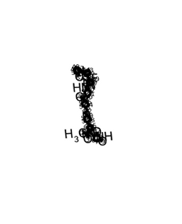 Cn1c(=O)n(C2CCC(=O)NC2=O)c2ccc(C3CCN(CCC4CCN(C(=O)C5CCCC(Nc6ncc(F)c(-c7cccc(-n8ccccc8=O)c7)n6)C5)CC4)CC3)cc21